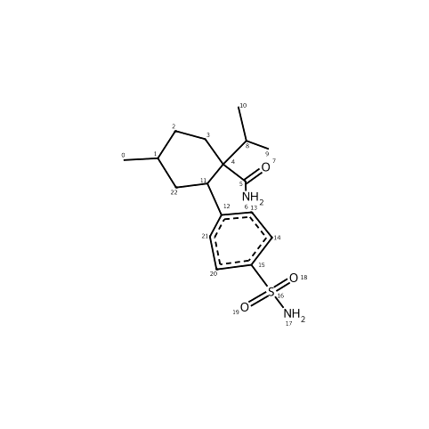 CC1CCC(C(N)=O)(C(C)C)C(c2ccc(S(N)(=O)=O)cc2)C1